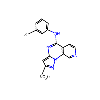 CC(C)c1cccc(Nc2nc3cc(C(=O)O)nn3c3cnccc23)c1